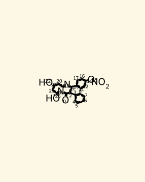 O=c1c(-c2ccccc2)c(-c2ccc(O[N+](=O)[O-])cc2)nc2cc(O)cc(O)n12